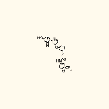 O=C(CCc1cccc(Oc2ccnc(C3=NCC(O)CN3)c2)c1)Nc1ccc(Cl)c(C(F)(F)F)c1